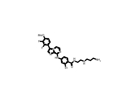 CCc1cc(Nc2nccn3c(-c4ccc(OC)c(F)c4F)cnc23)ccc1C(=O)NCCNCCCN